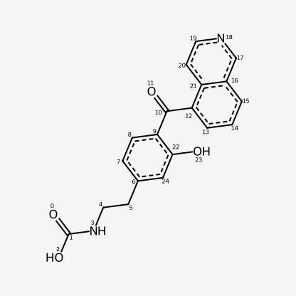 O=C(O)NCCc1ccc(C(=O)c2cccc3cnccc23)c(O)c1